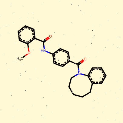 COc1ccccc1C(=O)Nc1ccc(C(=O)N2CCCCCc3ccccc32)cc1